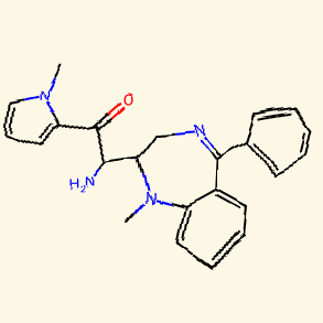 CN1c2ccccc2C(c2ccccc2)=NCC1C(N)C(=O)c1cccn1C